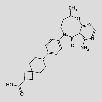 CC1CCN(c2ccc(C3CCC4(CC3)CC(C(=O)O)C4)cc2)C(=O)c2c(N)ncnc2O1